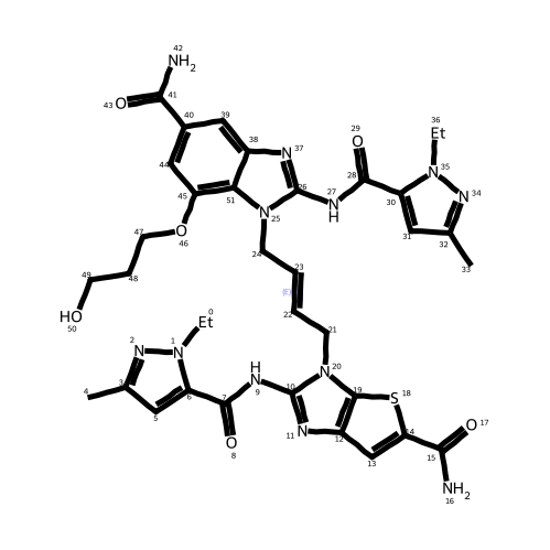 CCn1nc(C)cc1C(=O)Nc1nc2cc(C(N)=O)sc2n1C/C=C/Cn1c(NC(=O)c2cc(C)nn2CC)nc2cc(C(N)=O)cc(OCCCO)c21